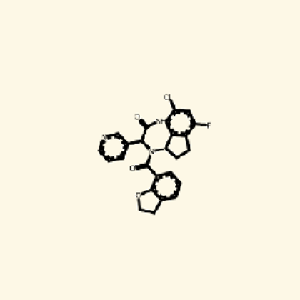 NC(=O)C(c1cccnc1)N(C(=O)c1cccc2c1OCC2)[C@@H]1CCc2c(F)cc(Cl)cc21